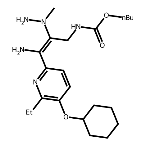 CCCCOC(=O)NC/C(=C(/N)c1ccc(OC2CCCCC2)c(CC)n1)N(C)N